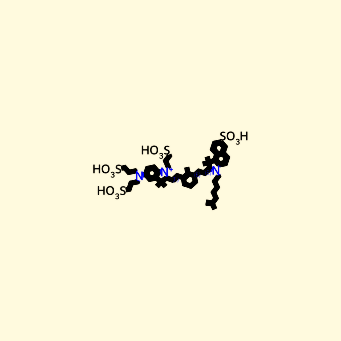 C=C(C)CCCCCN1/C(=C/C=C2\CCCC(/C=C/C3=[N+](CCCS(=O)(=O)O)c4ccc(N(CCCS(=O)(=O)O)CCCS(=O)(=O)O)cc4C3(C)C)=C2C)C(C)(C)c2c1ccc1cc(S(=O)(=O)O)ccc21